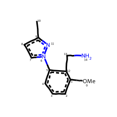 COc1cccc(-n2ccc(C)n2)c1CN